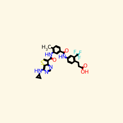 Cc1ccc(C(=O)Nc2ccc(CCC(=O)O)c(C(F)(F)F)c2)cc1NC(=O)c1csc2c(NC3CC3)ncnc12